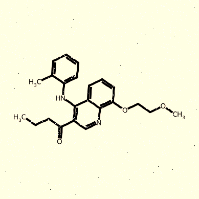 CCCC(=O)c1cnc2c(OCCOC)cccc2c1Nc1ccccc1C